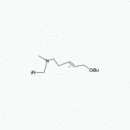 CC(C)COC/C=C/CCN(C)CC(C)C